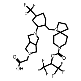 O=C(O)CN1CC2CN(C3CC(C(F)(F)F)CCC3CN3CCCC34CCN(C(=O)OC(C(F)(F)F)C(F)(F)F)CC4)CC2C1